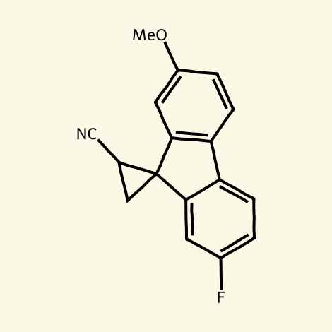 COc1ccc2c(c1)C1(CC1C#N)c1cc(F)ccc1-2